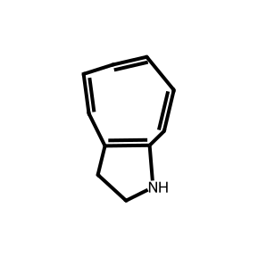 C1=C\C=C/C2=C(\C=C/1)CCN2